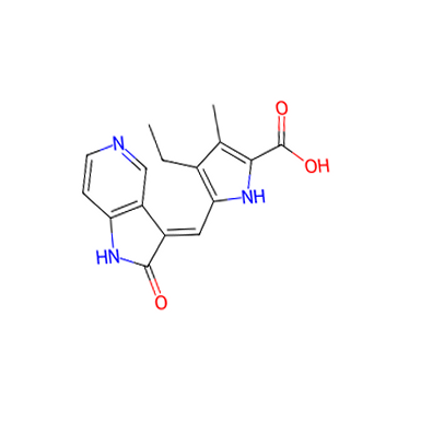 CCc1c(C=C2C(=O)Nc3ccncc32)[nH]c(C(=O)O)c1C